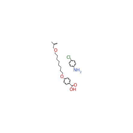 C=C(C)COCCCCCCCCOc1ccc(C(=O)O)cc1.Nc1ccc(Cl)cc1